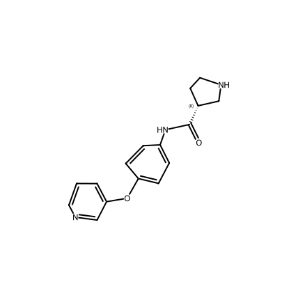 O=C(Nc1ccc(Oc2cccnc2)cc1)[C@@H]1CCNC1